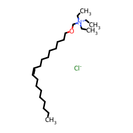 CCCCCCCC/C=C\CCCCCCCCOC[N+](CC)(CC)CC.[Cl-]